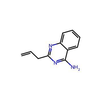 C=CCc1nc(N)c2ccccc2n1